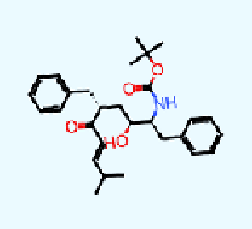 CC(C)/C=C/C(=O)[C@H](Cc1ccccc1)C[C@H](O)[C@H](Cc1ccccc1)NC(=O)OC(C)(C)C